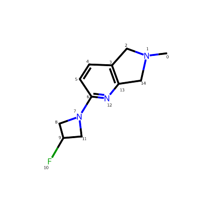 CN1Cc2ccc(N3CC(F)C3)nc2C1